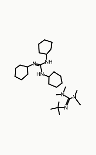 C1CCC(N=C(NC2CCCCC2)NC2CCCCC2)CC1.CN(C)C(=NC(C)(C)C)N(C)C